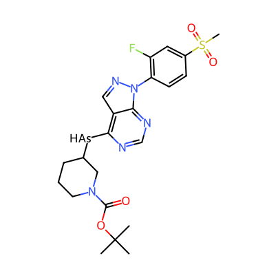 CC(C)(C)OC(=O)N1CCCC([AsH]c2ncnc3c2cnn3-c2ccc(S(C)(=O)=O)cc2F)C1